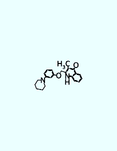 Cc1c(COc2cccc(N3CCCCC3)c2)[nH]c2ccccc2c1=O